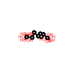 Oc1c(O)c(O)c(-c2ccc3ccc4c(-c5cccc6oc7c(-c8c(O)c(O)c(O)c(O)c8O)cccc7c56)ccc5ccc2c3c54)c(O)c1O